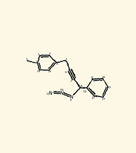 Cc1ccc(CC#CC(N=[N+]=[N-])c2ccccc2)cc1